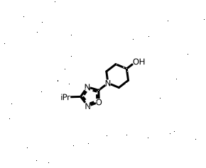 CC(C)c1noc(N2CCC(O)CC2)n1